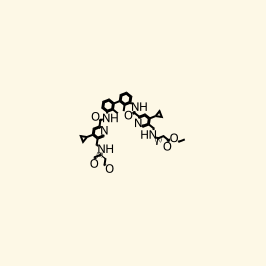 CCOC(=O)C[C@@H](C)NCc1cnc(C(=O)Nc2cccc(-c3cccc(NC(=O)c4cc(C5CC5)c(CN[C@H](C=O)CC=O)cn4)c3C)c2C)cc1C1CC1